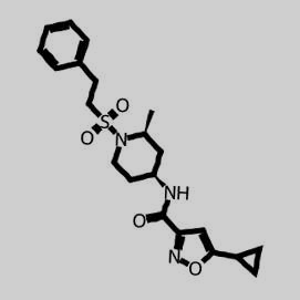 C[C@H]1C[C@@H](NC(=O)c2cc(C3CC3)on2)CCN1S(=O)(=O)CCc1ccccc1